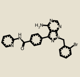 Nc1ncnc2c1c(-c1ccc(C(=O)Nc3ccccn3)cc1)nn2Cc1ccccc1Br